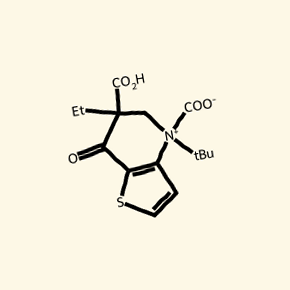 CCC1(C(=O)O)C[N+](C(=O)[O-])(C(C)(C)C)c2ccsc2C1=O